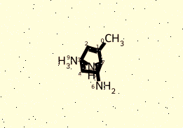 Cc1cc2cc(N)c1[nH]2.N